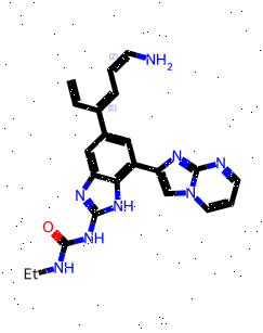 C=C/C(=C\C=C/N)c1cc(-c2cn3cccnc3n2)c2[nH]c(NC(=O)NCC)nc2c1